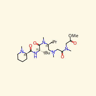 COC(=O)CN(C)C(=O)CN(C)C[C@H](C(C)C)N(C)C(=O)[C@@H](NC(=O)[C@H]1CCCCN1C)C(C)(C)C